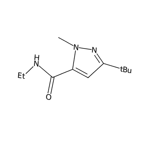 CCNC(=O)c1cc(C(C)(C)C)nn1C